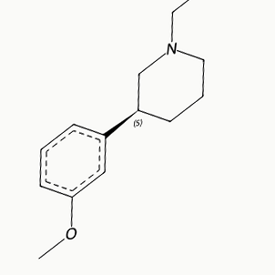 CCN1CCC[C@@H](c2cccc(OC)c2)C1